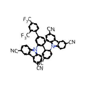 N#Cc1ccc(-n2c3ccc(C#N)cc3c3cc(C#N)ccc32)c(-c2ccc(-c3ccc(C(F)(F)F)cc3C(F)(F)F)cc2-n2c3ccc(C#N)cc3c3cc(C#N)ccc32)c1